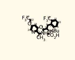 C[C@@H](NC(=O)C(Cc1ccccc1C(F)(F)F)N(C(=O)O)C(C)(C)C)c1ccc(OCC(F)(F)F)cn1